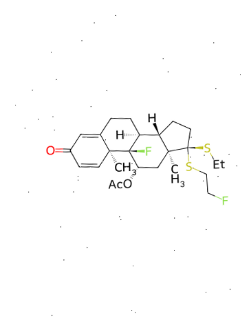 CCS[C@]1(SCCF)CC[C@H]2[C@@H]3CCC4=CC(=O)C=C[C@]4(C)[C@@]3(F)[C@@H](OC(C)=O)C[C@@]21C